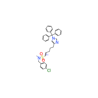 CN(Cc1ccc(Cl)cc1)S(=O)(=O)/C=C/CCCc1cn(C(c2ccccc2)(c2ccccc2)c2ccccc2)cn1